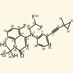 CC1(C#Cc2cc(N(CC(F)F)c3nc(=O)n(C(S)(S)S)c4cccc(F)c34)ccn2)CC1